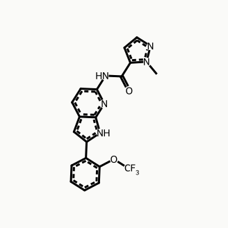 Cn1nccc1C(=O)Nc1ccc2cc(-c3ccccc3OC(F)(F)F)[nH]c2n1